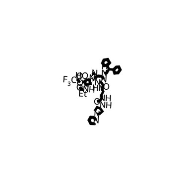 CCC(=O)N[C@H]1C[C@@H](n2cnc3c(NCC(c4ccccc4)c4ccccc4)nc(C(=O)NCCNC(=O)NC4CCN(c5ccccn5)CC4)nc32)[C@H](O)[C@@H]1OC(=O)C(F)(F)F